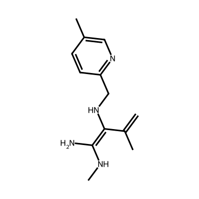 C=C(C)/C(NCc1ccc(C)cn1)=C(/N)NC